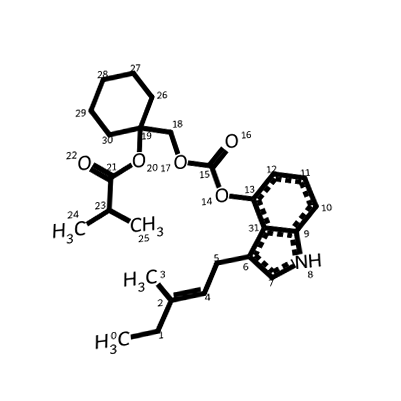 CC/C(C)=C/Cc1c[nH]c2cccc(OC(=O)OCC3(OC(=O)C(C)C)CCCCC3)c12